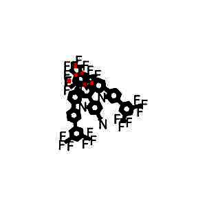 Cc1cc(-c2c(-n3c4cc(-c5cc(C(F)(F)F)cc(C(F)(F)F)c5)ccc4c4ccc(-c5cc(C(F)(F)F)cc(C(F)(F)F)c5)cc43)cc(C#N)cc2-n2c3cc(-c4cc(C(F)(F)F)cc(C(F)(F)F)c4)ccc3c3ccc(-c4cc(C(F)(F)F)cc(C(F)(F)F)c4)cc32)cc(C)n1